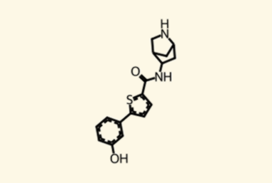 O=C(NC1CC2CC1CN2)c1ccc(-c2cccc(O)c2)s1